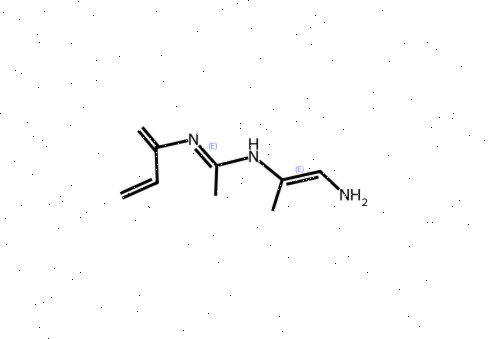 C=CC(=C)/N=C(\C)N/C(C)=C/N